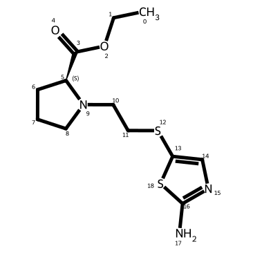 CCOC(=O)[C@@H]1CCCN1CCSc1cnc(N)s1